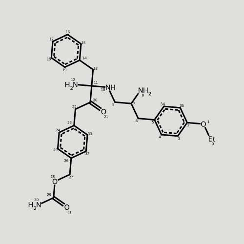 CCOc1ccc(CC(N)CNC(N)(Cc2ccccc2)C(=O)Cc2ccc(COC(N)=O)cc2)cc1